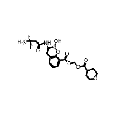 CC(F)(F)CC(=O)N[C@H]1Cc2cccc(C(=O)OCOC(=O)C3CCOCC3)c2OB1O